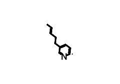 CC=CCCc1cc[c]nc1